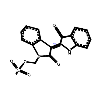 CS(=O)(=O)OCN1C(=O)/C(=C2\Nc3ccccc3C2=O)c2ccccc21